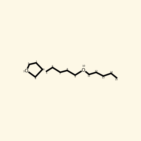 C1CCOC1.CCCCCOCCCCC